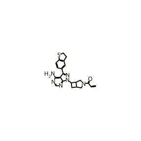 C=CC(=O)N1CC2CC(n3nc(-c4ccc5c(c4)CCS5)c4c(N)ncnc43)C2C1